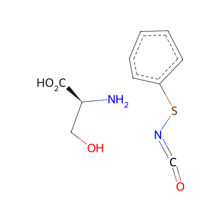 N[C@@H](CO)C(=O)O.O=C=NSc1ccccc1